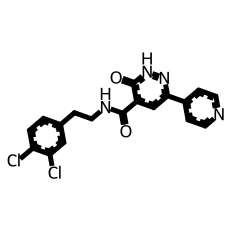 O=C(NCCc1ccc(Cl)c(Cl)c1)c1cc(-c2ccncc2)n[nH]c1=O